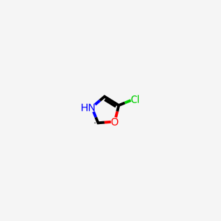 ClC1=CN[CH]O1